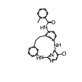 Cc1ccccc1C(=O)Nc1ccc2cc1CCc1cccc(c1)Nc1ncc(Cl)c(n1)N2